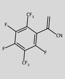 C=C(C#N)c1c(F)c(C(F)(F)F)c(F)c(F)c1C(F)(F)F